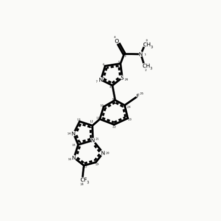 CN(C)C(=O)c1cnc(-c2cc(-c3cnc4nc(C(F)(F)F)cnn34)ccc2F)s1